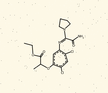 CCOC(=O)C(C)Oc1cc(/N=C(\C(N)=O)N2CCCC2)c(Cl)cc1Cl